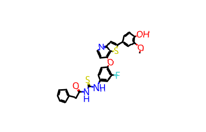 COc1cc(-c2cc3nccc(Oc4ccc(NC(=S)NC(=O)Cc5ccccc5)cc4F)c3s2)ccc1O